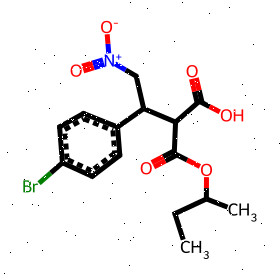 CCC(C)OC(=O)C(C(=O)O)C(C[N+](=O)[O-])c1ccc(Br)cc1